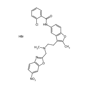 Br.Cc1oc2ccc(NC(=O)c3ccccc3Cl)cc2c1CCN(C)Cc1nc2ccc([N+](=O)[O-])cc2o1